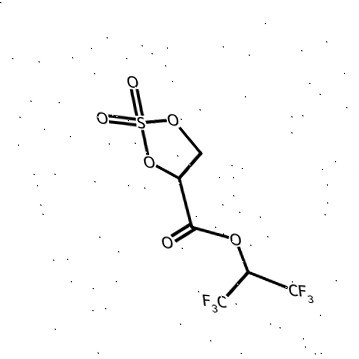 O=C(OC(C(F)(F)F)C(F)(F)F)C1COS(=O)(=O)O1